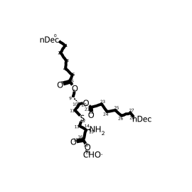 CCCCCCCCCCCCCCCC(=O)OC[C@@H](CSC[C@H](N)C(=O)O[C]=O)OC(=O)CCCCCCCCCCCCCCC